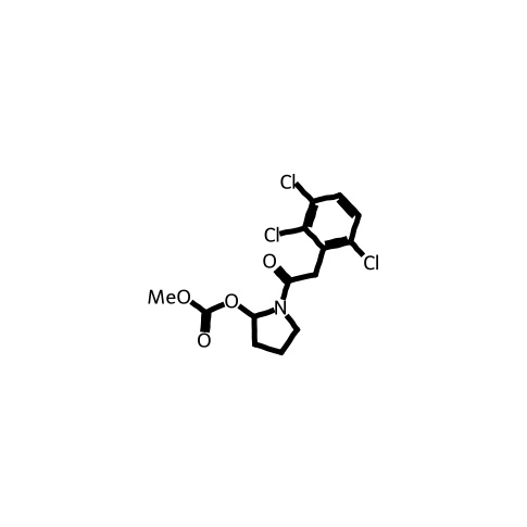 COC(=O)OC1CCCN1C(=O)Cc1c(Cl)ccc(Cl)c1Cl